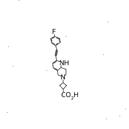 O=C(O)C1CC(N2CCC3NC(C#Cc4ccc(F)cc4)=CC=C3C2)C1